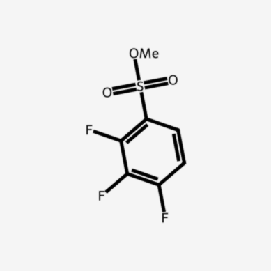 COS(=O)(=O)c1ccc(F)c(F)c1F